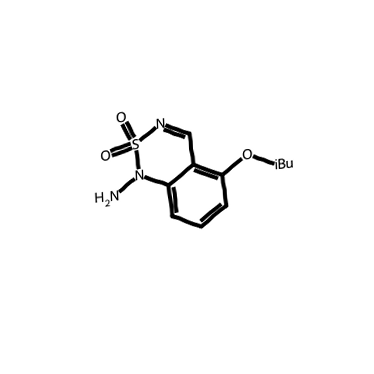 CCC(C)Oc1cccc2c1C=NS(=O)(=O)N2N